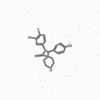 N#Cc1ccc(C2N(c3ccc(F)c(Cl)c3)C(=O)C23CCNCC3)cc1